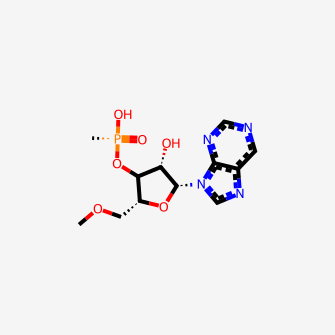 COC[C@H]1O[C@@H](n2cnc3cncnc32)[C@@H](O)C1O[P@](C)(=O)O